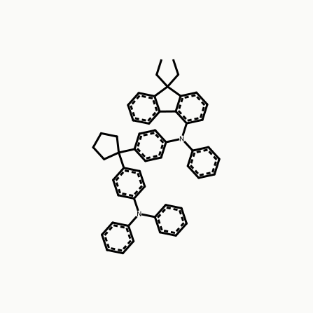 CCC1(CC)c2ccccc2-c2c(N(c3ccccc3)c3ccc(C4(c5ccc(N(c6ccccc6)c6ccccc6)cc5)CCCC4)cc3)cccc21